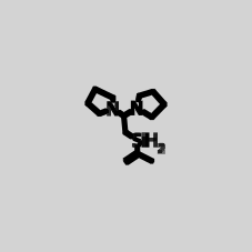 C=C(C)[SiH2]CC(N1CCCC1)N1CCCC1